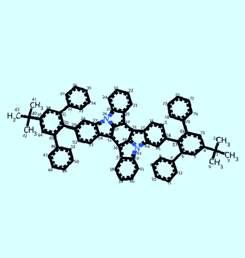 CC(C)(C)c1cc(-c2ccccc2)c(-c2ccc3c4c5c6ccccc6n6c7cc(-c8c(-c9ccccc9)cc(C(C)(C)C)cc8-c8ccccc8)ccc7c(c7c8ccccc8n(c3c2)c74)c56)c(-c2ccccc2)c1